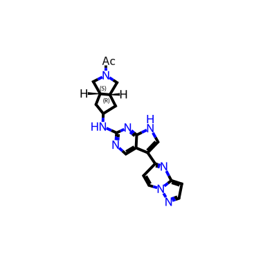 CC(=O)N1C[C@H]2CC(Nc3ncc4c(-c5ccn6nccc6n5)c[nH]c4n3)C[C@H]2C1